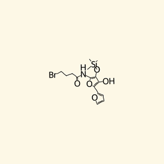 C[Si](C)(C)Oc1c(NC(=O)CCCBr)oc(-c2ccco2)c1O